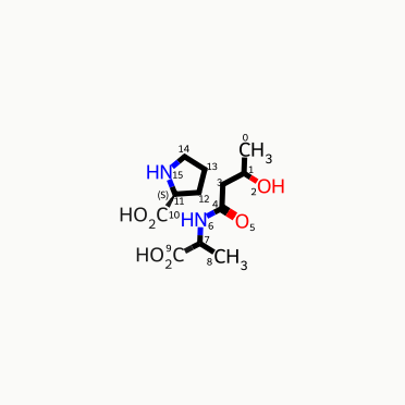 CC(O)CC(=O)NC(C)C(=O)O.O=C(O)[C@@H]1CCCN1